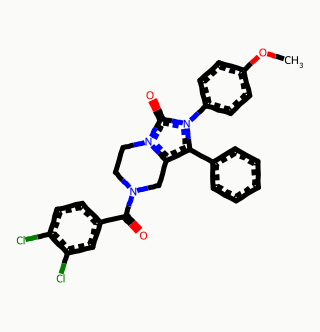 COc1ccc(-n2c(-c3ccccc3)c3n(c2=O)CCN(C(=O)c2ccc(Cl)c(Cl)c2)C3)cc1